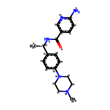 C[C@H](NC(=O)c1ccc(N)nc1)c1ccc(N2CCN(C)CC2)cc1